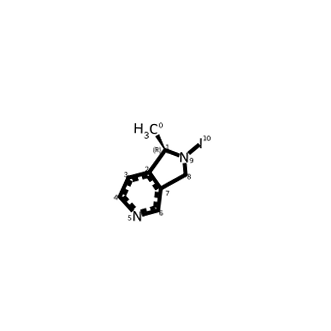 C[C@@H]1c2ccncc2CN1I